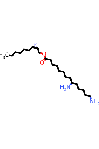 CCCCCC/C=C\COC(=O)CCCCCCCC(N)CCCCCN